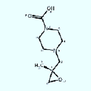 C[C@]1(CN2CCN(C(=O)O)CC2)CO1